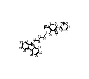 Fc1ccc(-c2ccccn2)c(F)c1CCCCCCn1c2ccccc2c2ccccc21